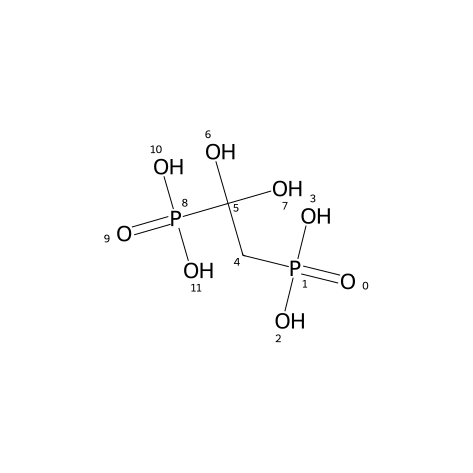 O=P(O)(O)CC(O)(O)P(=O)(O)O